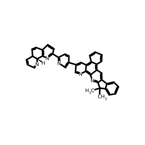 CC1(C)c2ccccc2-c2cc3c4ccccc4c4cc(-c5ccc(-c6ccc7c(n6)[C@@H]6N=CC=CC6C=C7)nc5)cnc4c3nc21